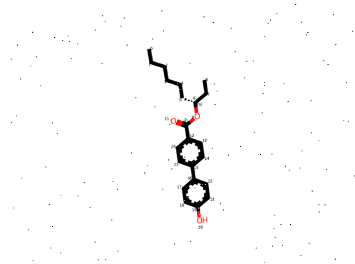 CCCCCC[C@H](CC)OC(=O)c1ccc(-c2ccc(O)cc2)cc1